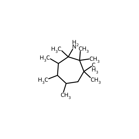 CC1CC(C)(C)C(C)(C)C(C)(N)C(C)C1C